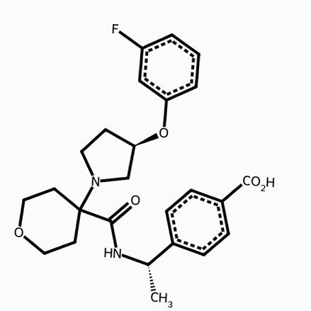 C[C@H](NC(=O)C1(N2CC[C@@H](Oc3cccc(F)c3)C2)CCOCC1)c1ccc(C(=O)O)cc1